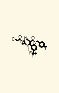 N#Cc1c(NC2CN(C(=O)CCl)C2)c2cc(C(F)(F)F)ccc2n(Cc2ccc(F)cc2)c1=O